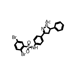 CC(=O)N1N=C(c2ccc(NS(=O)(=O)c3cc(Br)ccc3Br)cc2)CC1c1ccccc1